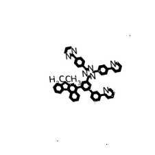 CC1(C)c2ccccc2-c2c1cc(-c1cc(-c3cccc(-c4ccccn4)c3)cc(-c3nc(-c4ccc(-c5ccccn5)cc4)nc(-c4ccc(-c5ncccn5)cc4)n3)c1)c1ccccc21